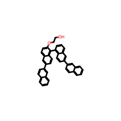 OCCOc1ccc2cc(-c3ccc4ccccc4c3)ccc2c1-c1cccc2cc(-c3ccc4ccccc4c3)ccc12